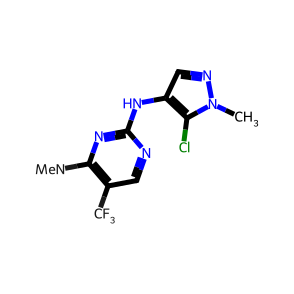 CNc1nc(Nc2cnn(C)c2Cl)ncc1C(F)(F)F